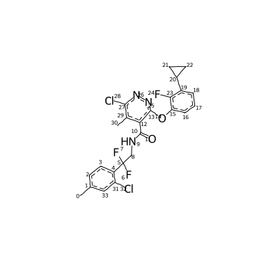 Cc1ccc(C(F)(F)CNC(=O)c2c(Oc3cccc(C4CC4)c3F)nnc(Cl)c2C)c(Cl)c1